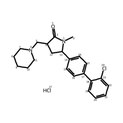 CN1C(=O)C(CN2CCCCC2)CC1c1ccc(-c2ccccc2Cl)cc1.Cl